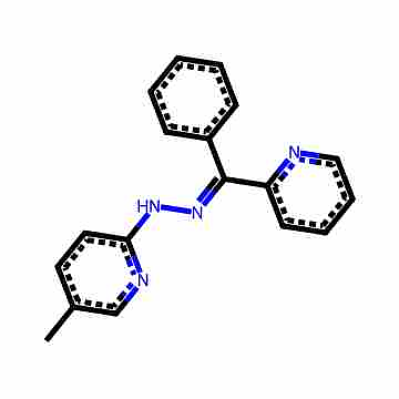 Cc1ccc(N/N=C(\c2ccccc2)c2ccccn2)nc1